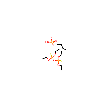 CCCC.CCOP(=S)(OCC)OP(=S)(OCC)OCC.O=P(O)(O)O